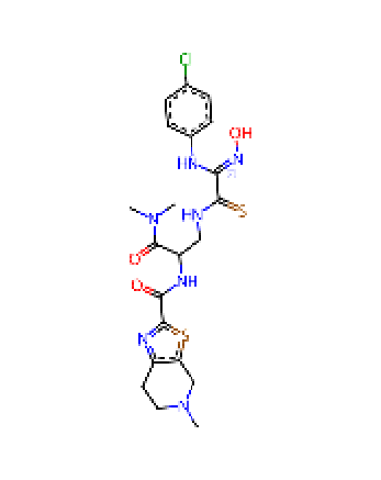 CN1CCc2nc(C(=O)NC(CNC(=S)/C(=N/O)Nc3ccc(Cl)cc3)C(=O)N(C)C)sc2C1